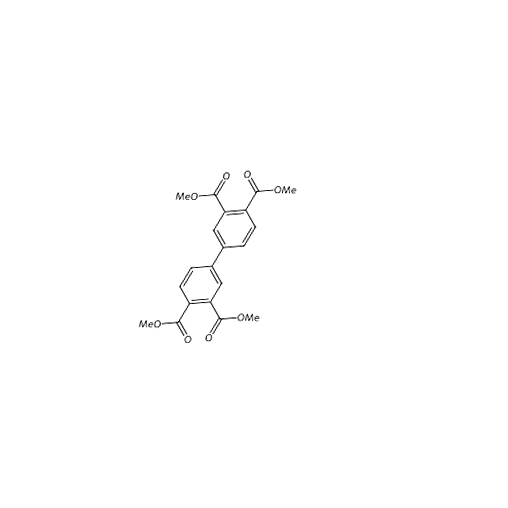 COC(=O)c1ccc(-c2ccc(C(=O)OC)c(C(=O)OC)c2)cc1C(=O)OC